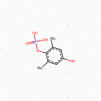 CC(C)(C)c1cc(O)cc(C(C)(C)C)c1OP(=O)(O)O